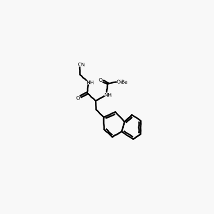 CC(C)COC(=O)NC(Cc1ccc2ccccc2c1)C(=O)NCC#N